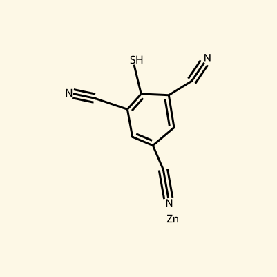 N#Cc1cc(C#N)c(S)c(C#N)c1.[Zn]